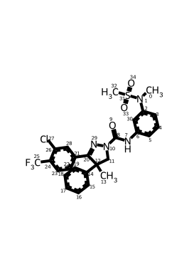 CN(c1cccc(NC(=O)N2CC(C)(c3ccccc3)C(c3ccc(C(F)(F)F)c(Cl)c3)=N2)c1)S(C)(=O)=O